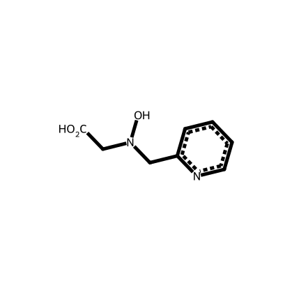 O=C(O)CN(O)Cc1ccccn1